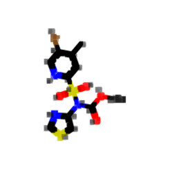 Cc1cc(S(=O)(=O)N(C(=O)OC(C)(C)C)c2cscn2)ncc1Br